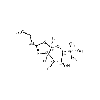 CCNC1=N[C@@H]2[C@H](F)[C@H](O)[C@@H](C(C)(C)O)O[C@@H]2S1